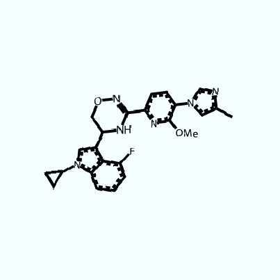 COc1nc(C2=NOCC(c3cn(C4CC4)c4cccc(F)c34)N2)ccc1-n1cnc(C)c1